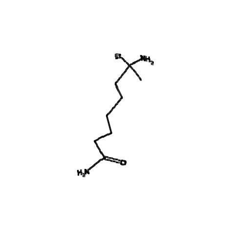 CCC(C)(N)CCCCCC(N)=O